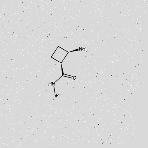 CC(C)NC(=O)[C@H]1CC[C@H]1N